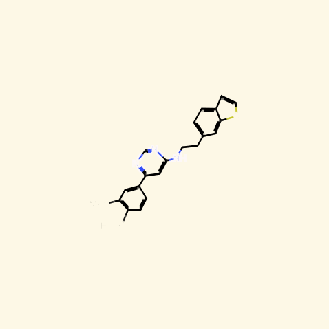 CSc1cc(-c2cc(NCCc3ccc4ccsc4c3)ncn2)ccc1C(=O)O